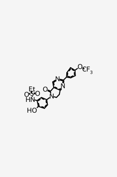 CCS(=O)(=O)Nc1cc(N2CCc3nc(-c4ccc(OC(F)(F)F)cc4)ncc3C2=O)ccc1O